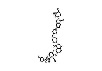 N#Cc1c(NS(=O)(=O)N2CC[C@@H](F)C2)ccc(F)c1Oc1ccc2ncn(C3CCN(CC4CCN(c5ccc6c(c5)CN(C5CCC(=O)NC5=O)C6=O)CC4)CC3)c(=O)c2c1